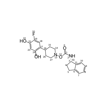 O=C(N[C@H]1CCc2ccccc21)ON1CCC(c2cc(F)c(O)cc2O)CC1